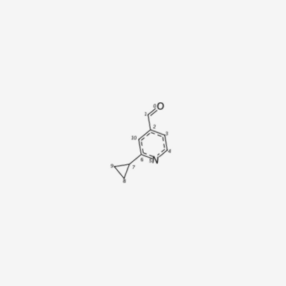 O=Cc1ccnc(C2CC2)c1